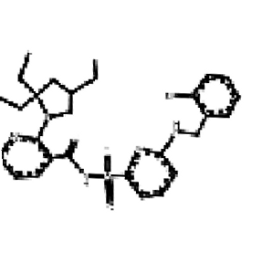 CCC1CN(c2ncccc2C(=O)NS(=O)(=O)c2cccc(NCc3ccccc3Cl)n2)C(CC)(CC)C1